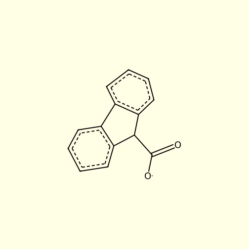 [O]C(=O)C1c2ccccc2-c2ccccc21